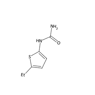 CCc1ccc(NC(N)=O)s1